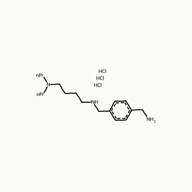 CCCN(CCC)CCCCNCc1ccc(CN)cc1.Cl.Cl.Cl